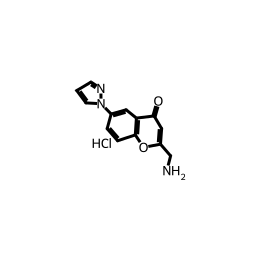 Cl.NCc1cc(=O)c2cc(-n3cccn3)ccc2o1